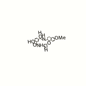 COc1ccc2c(c1)CCC(CNCC(O)c1ccc(O)c(C(N)=O)c1)C2=O.Cl